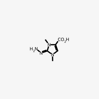 Cn1cc(C(=O)O)n(C)c1=NN